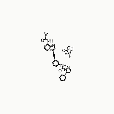 O=C(Nc1cccn2c(C#Cc3cccc(NC(=O)N4N=CCC4c4ccccc4)c3)cnc12)C1CC1.O=C(O)C(F)(F)F